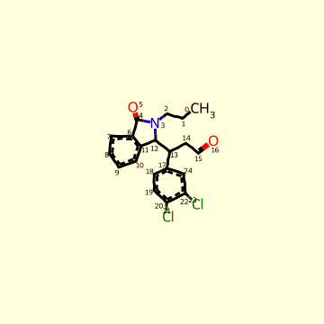 CCCN1C(=O)c2ccccc2C1C(CC=O)c1ccc(Cl)c(Cl)c1